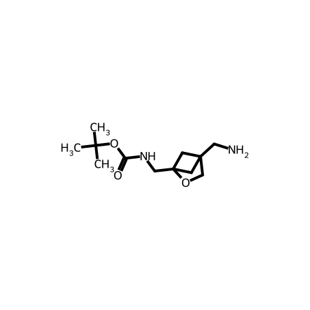 CC(C)(C)OC(=O)NCC12CC(CN)(CO1)C2